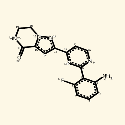 Nc1cccc(F)c1-c1nccc(-c2cc3n(n2)CCNC3=O)n1